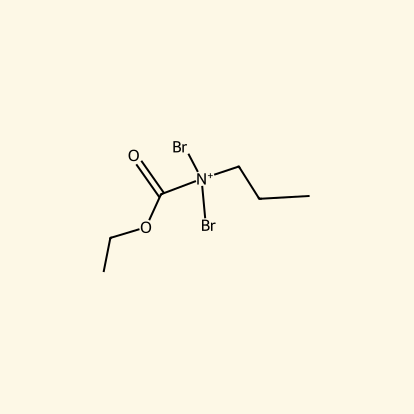 CCC[N+](Br)(Br)C(=O)OCC